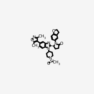 Cc1noc(C)c1-c1ccc2c(c1)nc([C@@H]1CCC(=O)N1c1ccc3c(c1)CCO3)n2C1CCN([S+](C)[O-])CC1